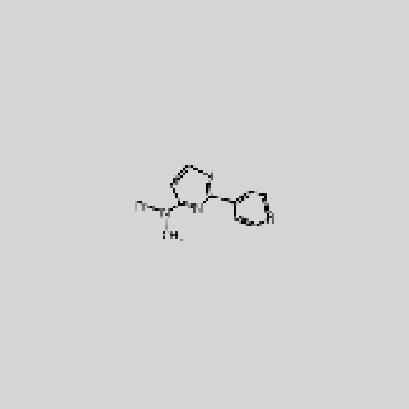 CC(C)N(C)c1ccnc(-c2ccncc2)n1